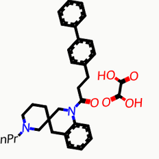 CCCN1CCCC2(Cc3ccccc3N(C(=O)CCc3ccc(-c4ccccc4)cc3)C2)C1.O=C(O)C(=O)O